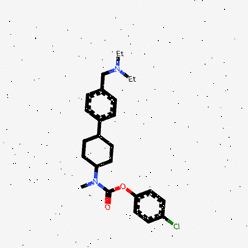 CCN(CC)Cc1ccc(C2CCC(N(C)C(=O)Oc3ccc(Cl)cc3)CC2)cc1